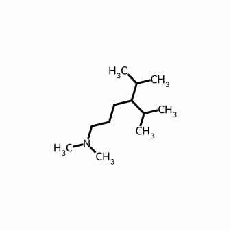 CC(C)C(CCCN(C)C)C(C)C